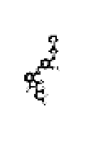 Cc1cc(CNc2cccc3c2C(=O)N(C2CCC(=O)NC2=O)C3=O)ccc1CN1CC(N2CCCC2)C1